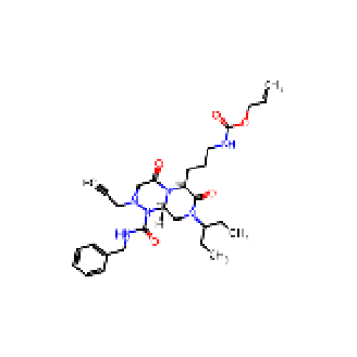 C#CCN1CC(=O)N2[C@@H](CCCNC(=O)OCC=C)C(=O)N(C(CC)CC)C[C@@H]2N1C(=O)NCc1ccccc1